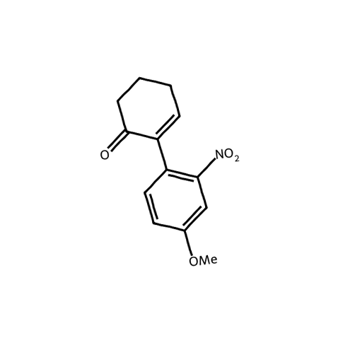 COc1ccc(C2=CCCCC2=O)c([N+](=O)[O-])c1